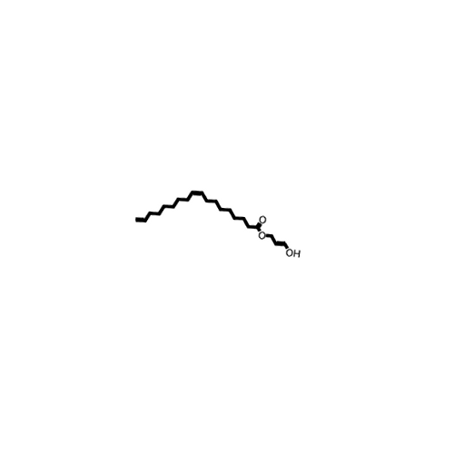 C=CCCCCCC/C=C\CCCCCCCC(=O)OCC=CO